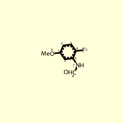 COc1ccc(F)c(NC=O)c1